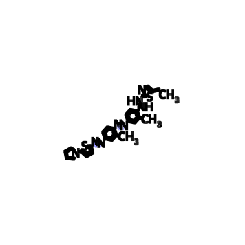 CCc1cnc(NNc2ccc(/N=N/c3ccc(/N=N/c4ccc(N5CCCC5)s4)cc3C)cc2C)s1